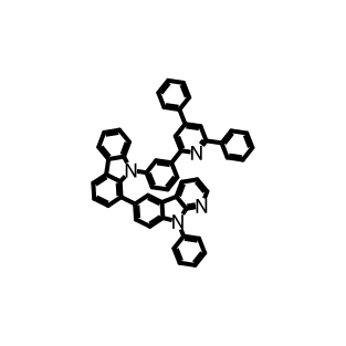 c1ccc(-c2cc(-c3ccccc3)nc(-c3cccc(-n4c5ccccc5c5cccc(-c6ccc7c(c6)c6cccnc6n7-c6ccccc6)c54)c3)c2)cc1